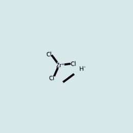 CC.[Cl][Zr+]([Cl])[Cl].[H-]